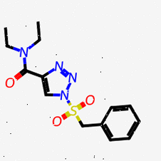 CCN(CC)C(=O)c1cn(S(=O)(=O)Cc2ccccc2)nn1